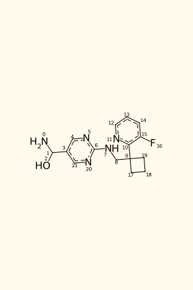 NC(O)c1cnc(NCC2(c3ncccc3F)CCC2)nc1